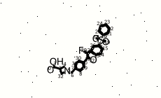 O=C(O)C1CN(Cc2ccc(-c3oc4ccc(S(=O)(=O)c5ccccc5)cc4c3F)cc2)C1